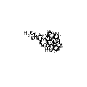 C=CC(=O)N1CCN2c3nc(=O)n(-c4c(C)ccnc4C(C)C)c4nc(-c5c(O)ccc(F)c5F)c(Cl)c(c34)OCCC2C1